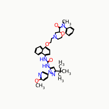 COc1ccc(-n2nc(C(C)(C)C)cc2NC(=O)Nc2ccc(OCCN3CCOC(C(=O)N(C)c4ccccc4)C3)c3ccccc23)cn1